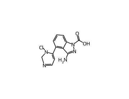 Nc1nn(C(=O)O)c2cccc(C3=CC=NCN3Cl)c12